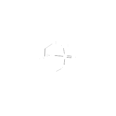 CCCCCS.O=P(O)(O)OF